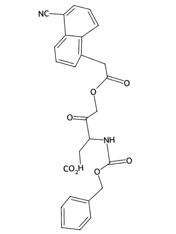 N#Cc1cccc2c(CC(=O)OCC(=O)C(CC(=O)O)NC(=O)OCc3ccccc3)cccc12